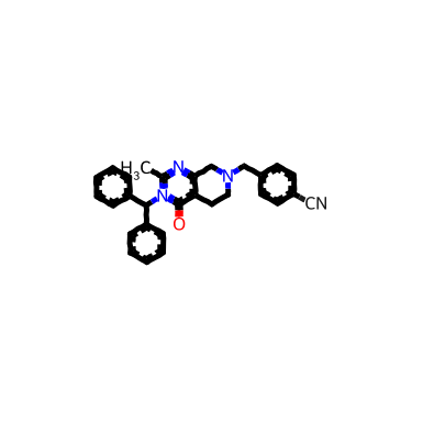 Cc1nc2c(c(=O)n1C(c1ccccc1)c1ccccc1)CCN(Cc1ccc(C#N)cc1)C2